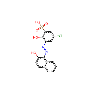 O=S(=O)(O)c1cc(Cl)cc(N=Nc2c(O)ccc3ccccc23)c1O